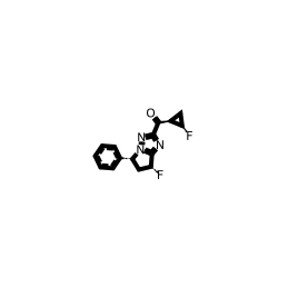 O=C(c1nc2n(n1)[C@@H](c1ccccc1)C[C@H]2F)[C@H]1C[C@@H]1F